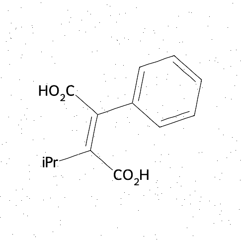 CC(C)C(C(=O)O)=C(C(=O)O)c1ccccc1